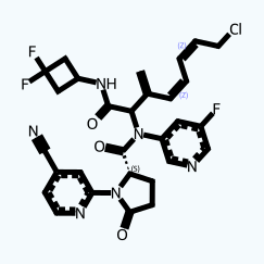 C=C(/C=C\C=C/CCl)C(C(=O)NC1CC(F)(F)C1)N(C(=O)[C@@H]1CCC(=O)N1c1cc(C#N)ccn1)c1cncc(F)c1